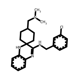 CN(C)CC1CCC2(CC1)Nc1ccccc1N=C2NCc1cccc(Cl)c1